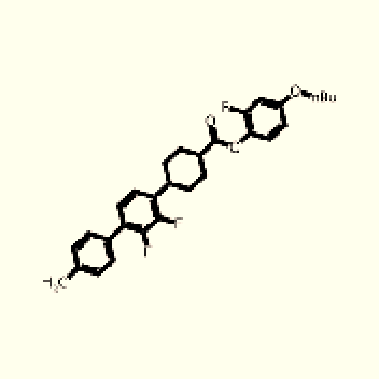 CCCCOc1ccc(OC(=O)C2CCC(c3ccc(-c4ccc(C)cc4)c(F)c3F)CC2)c(F)c1